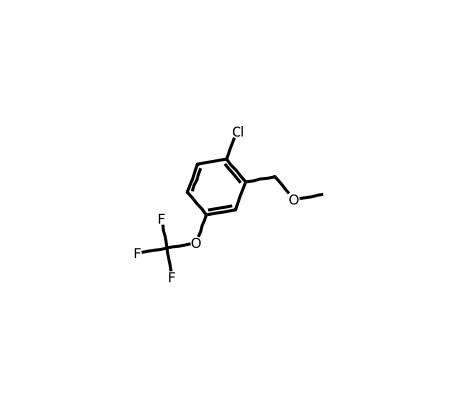 COCc1cc(OC(F)(F)F)ccc1Cl